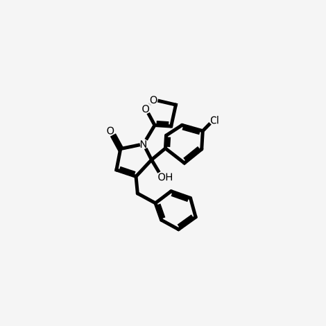 O=C1C=C(Cc2ccccc2)C(O)(c2ccc(Cl)cc2)N1C1=CCOO1